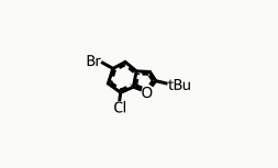 CC(C)(C)c1cc2cc(Br)cc(Cl)c2o1